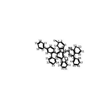 CC1C=Cc2c(c3c(-c4ccc(-c5ccccc5)cc4-c4ccccc4)cc4c5ccccc5oc4c3n2-c2nc3c(c(-c4ccccc4)n2)C=CCC3)C1